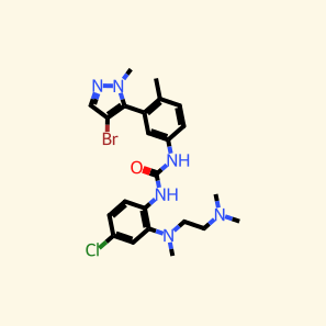 Cc1ccc(NC(=O)Nc2ccc(Cl)cc2N(C)CCN(C)C)cc1-c1c(Br)cnn1C